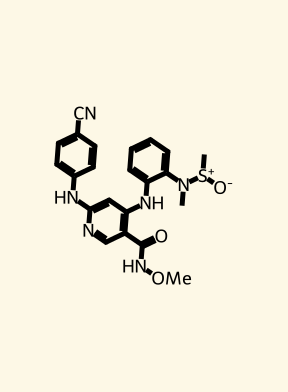 CONC(=O)c1cnc(Nc2ccc(C#N)cc2)cc1Nc1ccccc1N(C)[S+](C)[O-]